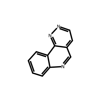 c1ccc2c(c1)ncc1ccnnc12